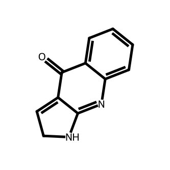 O=C1C2=CCNC2=Nc2ccccc21